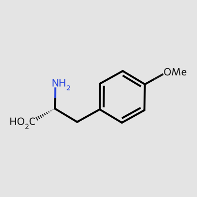 COc1ccc(C[C@@H](N)C(=O)O)cc1